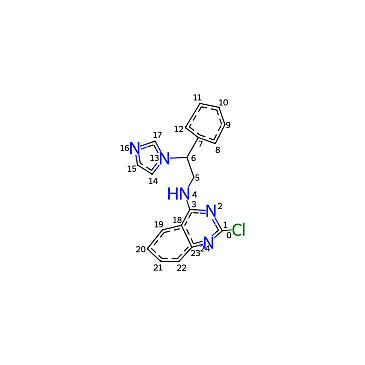 Clc1nc(NCC(c2ccccc2)n2ccnc2)c2ccccc2n1